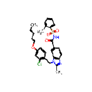 CCCCCOc1ccc(Cn2c(C)nc3ccc(C(=O)NS(=O)(=O)c4ccccc4C)cc32)c(Cl)c1